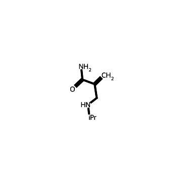 C=C(CNC(C)C)C(N)=O